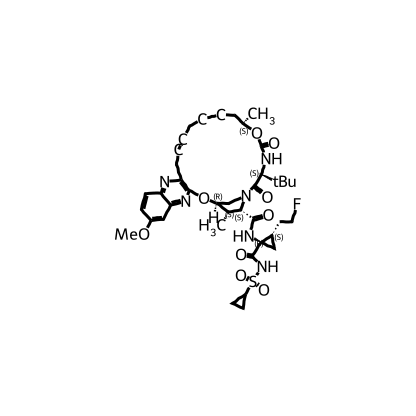 COc1ccc2nc3c(nc2c1)O[C@H]1CN(C(=O)[C@H](C(C)(C)C)NC(=O)O[C@@H](C)CCCCCCC3)[C@H](C(=O)N[C@]2(C(=O)NS(=O)(=O)C3CC3)C[C@H]2CCF)[C@@H]1C